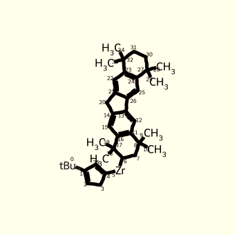 CC(C)(C)C1=CC[C]([Zr][CH]2CC(C)(C)c3cc4c(cc3C2(C)C)Cc2cc3c(cc2-4)C(C)(C)CCC3(C)C)=C1